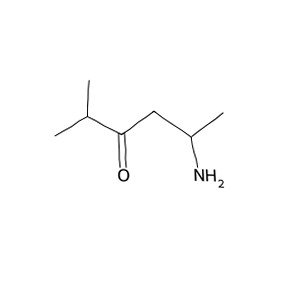 CC(N)CC(=O)C(C)C